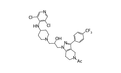 CC(=O)N1CCc2c(c(-c3ccc(C(F)(F)F)cc3)nn2CC(O)CN2CCC(Nc3c(Cl)cncc3Cl)CC2)C1